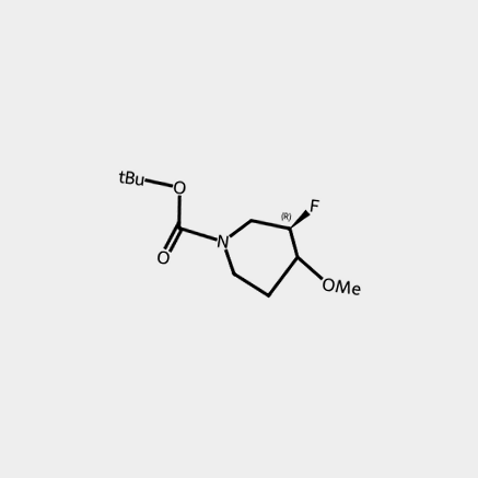 COC1CCN(C(=O)OC(C)(C)C)C[C@H]1F